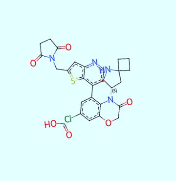 O=C1CCC(=O)N1Cc1cc2nccc(-c3cc(Cl)cc4c3N([C@@H]3CNC5(CCC5)C3)C(=O)CO4)c2s1.O=CO